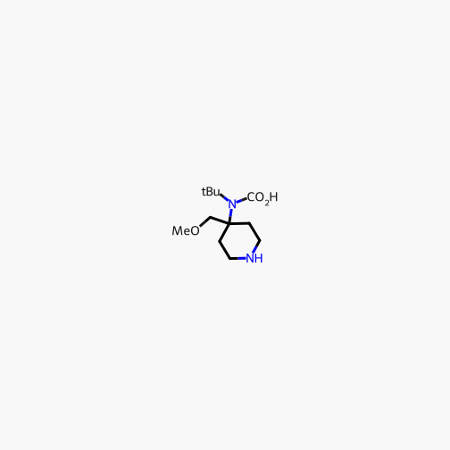 COCC1(N(C(=O)O)C(C)(C)C)CCNCC1